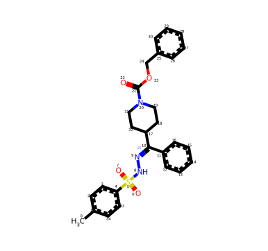 Cc1ccc(S(=O)(=O)N/N=C(\c2ccccc2)C2CCN(C(=O)OCc3ccccc3)CC2)cc1